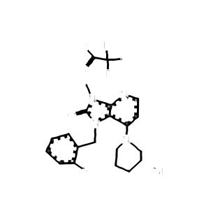 Cn1c(=O)n(Cc2ccccc2F)c2c(N3CCC[C@@H](N)C3)ccnc21.O=C(O)C(F)(F)F